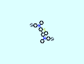 C[Si](C)(C)c1ccc(N(c2ccccc2)c2ccc3c(c2)Sc2cccc4c(N(c5ccccc5)c5ccc([Si](C)(C)C)cc5)ccc-3c24)cc1